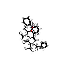 CC(=O)N(C(Cc1ccccc1)C(=O)C(F)(F)F)N1C(=O)C(C(C)C)N(C(=O)c2cccs2)C=C1c1ccccc1